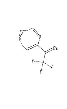 O=C(c1ccccn1)C(F)(F)F